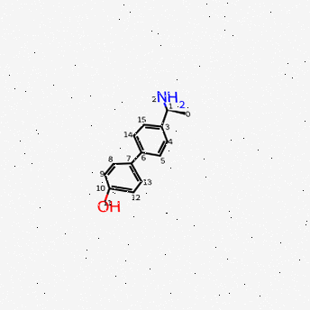 C[C@H](N)c1ccc(-c2ccc(O)cc2)cc1